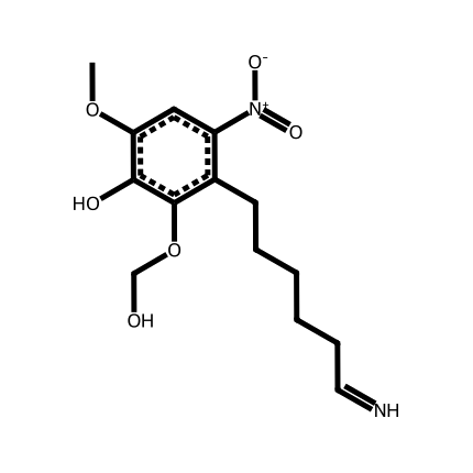 COc1cc([N+](=O)[O-])c(CCCCCC=N)c(OCO)c1O